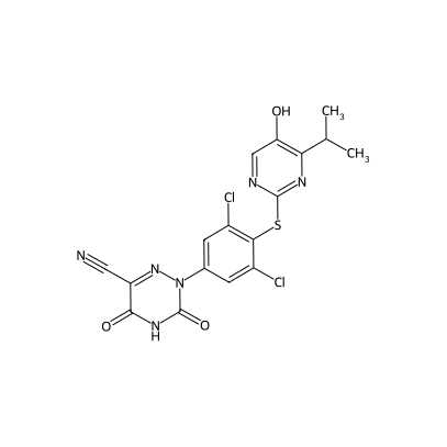 CC(C)c1nc(Sc2c(Cl)cc(-n3nc(C#N)c(=O)[nH]c3=O)cc2Cl)ncc1O